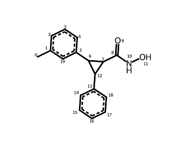 Cc1cccc(C2C(C(=O)NO)C2c2ccccc2)c1